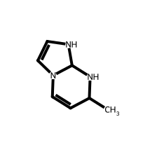 CC1C=CN2C=CNC2N1